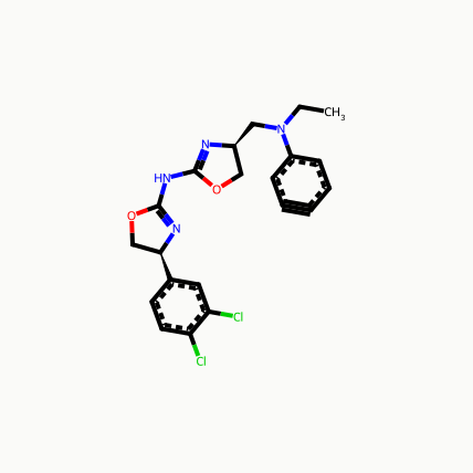 CCN(C[C@H]1COC(NC2=N[C@@H](c3ccc(Cl)c(Cl)c3)CO2)=N1)c1cc#ccc1